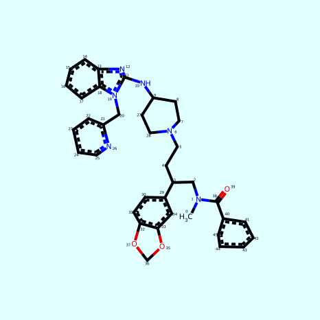 CN(CC(CCN1CCC(Nc2nc3ccccc3n2Cc2ccccn2)CC1)c1ccc2c(c1)OCO2)C(=O)c1ccccc1